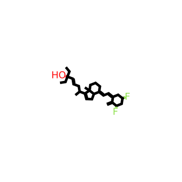 C=C1/C(=C\C=C2/CCCC3(C)C(C(C)C/C=C/C(O)(CC)CC)=CCC23)CC(F)CC1F